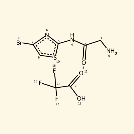 NCC(=O)Nc1nc(Br)cs1.O=C(O)C(F)(F)F